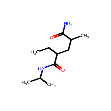 CCC(CC(C)C(N)=O)C(=O)NC(C)C